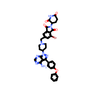 Nc1ncnc2c1c(-c1ccc(Oc3ccccc3)cc1)nn2C1CCN(Cc2cc(Br)c3c(c2)C(=O)N(C2CCC(=O)NC2=O)C3=O)CC1